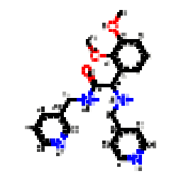 COc1cccc(C(NCc2ccncc2)C(=O)NCc2cccnc2)c1OC